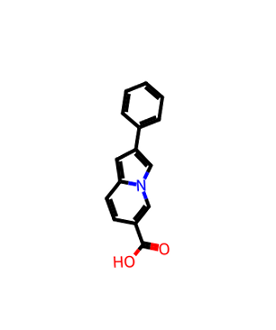 O=C(O)c1ccc2cc(-c3ccccc3)cn2c1